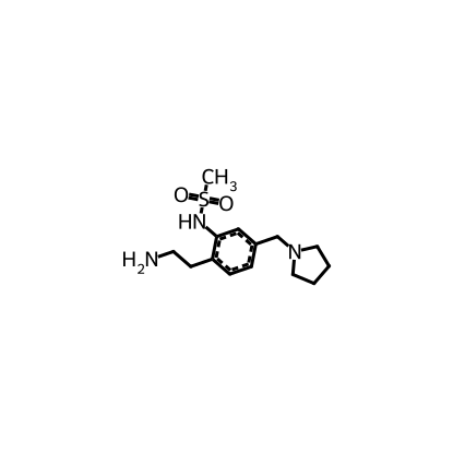 CS(=O)(=O)Nc1cc(CN2CCCC2)ccc1CCN